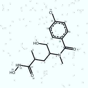 CC(CC(CO)N(C)C(=O)c1ccc(Cl)cc1)C(=O)NO